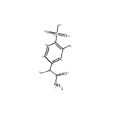 Cc1cc(C(C)C(N)=O)ccc1S(C)(=O)=O